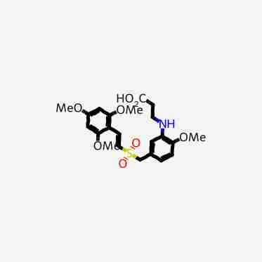 COc1cc(OC)c(C=CS(=O)(=O)Cc2ccc(OC)c(NCCC(=O)O)c2)c(OC)c1